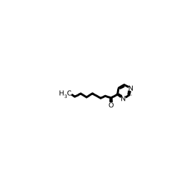 CCCCCCCC(=O)c1ccn[c]n1